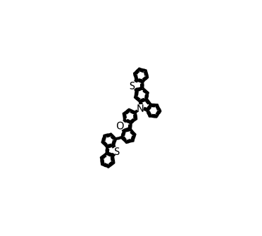 c1ccc2c(c1)sc1cc3c(cc12)c1ccccc1n3-c1ccc2oc3c(-c4cccc5c4sc4ccccc45)cccc3c2c1